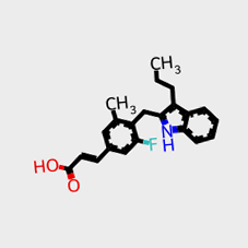 CCCc1c(Cc2c(C)cc(/C=C/C(=O)O)cc2F)[nH]c2ccccc12